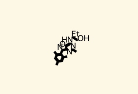 CCC(CO)Nc1nc(C)nc2c(-c3c(C)cc(C)cc3C)noc12